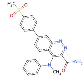 CN(c1ccccc1)c1c(C(N)=O)nnc2cc(-c3ccc(S(C)(=O)=O)cc3)ccc12